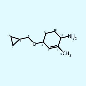 CC1=CC(OCC2CC2)CCC1N